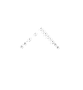 Cn1cc[n+](C)c1.Cn1cc[n+](C)c1.Cn1cc[n+](C)c1.Cn1cc[n+](C)c1.Cn1cc[n+](C)c1.Cn1cc[n+](C)c1.Cn1cc[n+](C)c1.Cn1cc[n+](C)c1.O=P([O-])([O-])F.O=P([O-])([O-])F.O=P([O-])([O-])F.O=P([O-])([O-])F